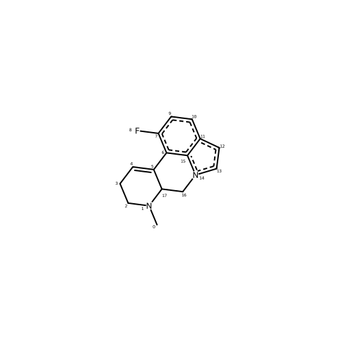 CN1CCC=C2c3c(F)ccc4ccn(c34)CC21